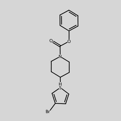 O=C(Oc1ccccc1)N1CCC([SH]2C=CC(Br)=C2)CC1